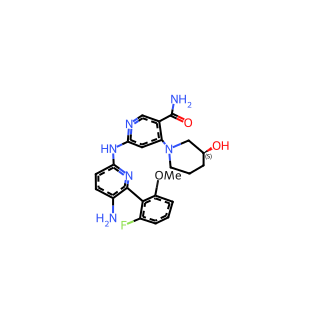 COc1cccc(F)c1-c1nc(Nc2cc(N3CCC[C@H](O)C3)c(C(N)=O)cn2)ccc1N